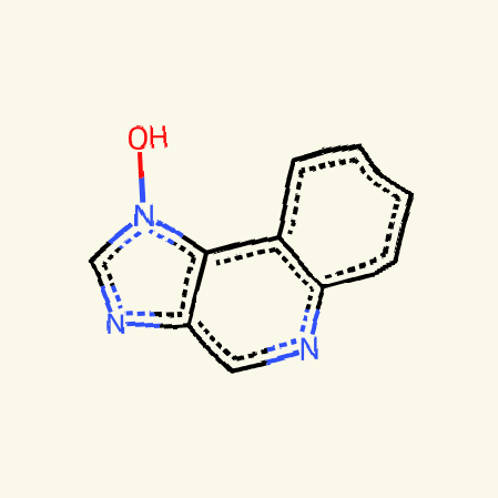 On1cnc2cnc3ccccc3c21